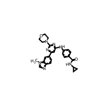 Cn1cnc2ccc(-c3cc(Nc4ccc(C(=O)NC5CC5)cc4)nc(N4CCOCC4)n3)cc21